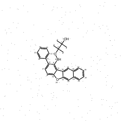 CC(C)(O)C(C)(C)OBc1c(-c2ccccc2)ccc2oc3cc4ccccc4cc3c12